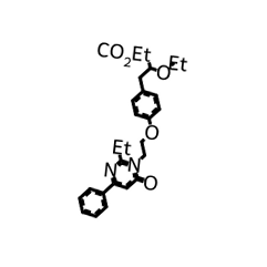 CCOC(=O)C(Cc1ccc(OCCn2c(CC)nc(-c3ccccc3)cc2=O)cc1)OCC